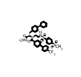 COC(=O)[C@H](Cc1ccc(-c2ccccc2)cc1)N(CCNS(=O)(=O)c1ccc(S(C)(=O)=O)cc1)C(=O)c1ccc(-c2ccc(C(F)(F)F)cc2)cc1